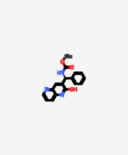 CC(C)(C)OC(=O)N[C@H](c1ccccc1)c1cc2ncccc2nc1O